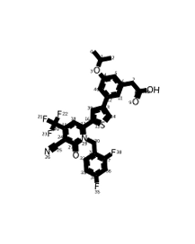 CC(C)Oc1cc(CC(=O)O)cc(-c2csc(-c3cc(C(F)(F)F)c(C#N)c(=O)n3Cc3ccc(F)cc3F)c2)c1